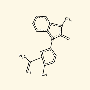 CC(=N)c1cc(-n2c(=O)n(C)c3ccccc32)ccc1O